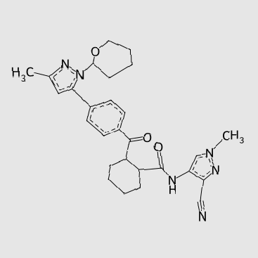 Cc1cc(-c2ccc(C(=O)C3CCCCC3C(=O)Nc3cn(C)nc3C#N)cc2)n(C2CCCCO2)n1